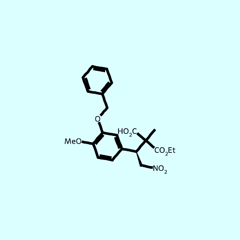 CCOC(=O)C(C)(C(=O)O)[C@@H](C[N+](=O)[O-])c1ccc(OC)c(OCc2ccccc2)c1